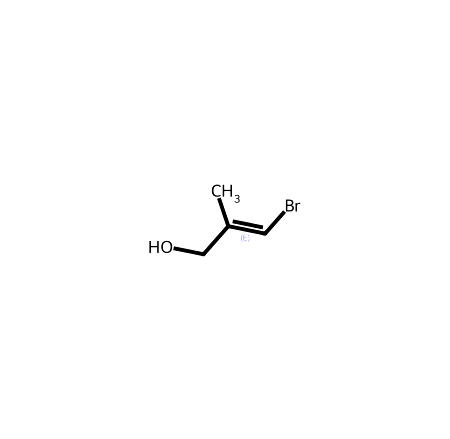 C/C(=C\Br)CO